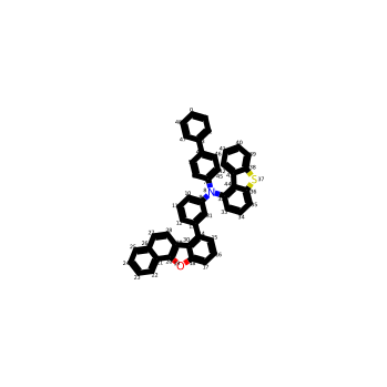 c1ccc(-c2ccc(N(c3cccc(-c4cccc5oc6c7ccccc7ccc6c45)c3)c3cccc4sc5ccccc5c34)cc2)cc1